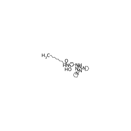 CCCCCCCCCC(=O)Nc1ccc(Nc2nc(N3CCCCC3)nc(N3CCCCC3)n2)cc1O